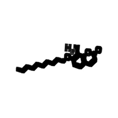 CCCCCCCCCCOc1ccc2ccc(=O)oc2c1N